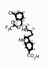 C[C@H](Cc1c[nH]c2cc(C(=O)O)ccc12)NC[C@H](OC(=O)C(F)(F)F)c1cccc(Cl)c1